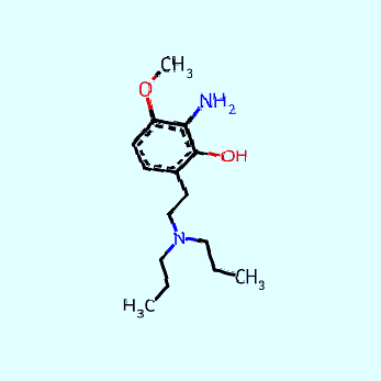 CCCN(CCC)CCc1ccc(OC)c(N)c1O